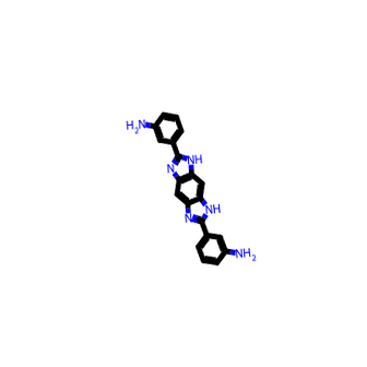 Nc1cccc(-c2nc3cc4nc(-c5cccc(N)c5)[nH]c4cc3[nH]2)c1